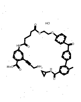 COC(=O)c1ccc(NC(=O)CCCC(=O)OCCOc2ccc(C(=O)c3ccc(-c4cc(C(=O)NC5CC5)ccc4C)cc3)cc2)cc1C#CCN.Cl